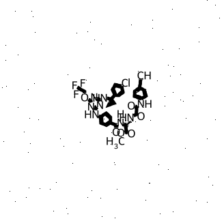 C#Cc1ccc(NC(=O)C(=O)NC[C@H](NC(=O)c2ccc(Nc3nc(NC4(c5ccc(Cl)cc5)CC4)nc(OCC(F)(F)F)n3)cc2)C(=O)OC)cc1